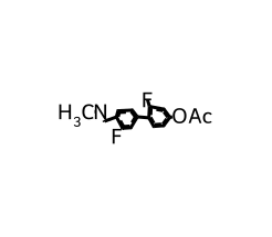 CN=Cc1ccc(-c2ccc(OC(C)=O)cc2F)cc1F